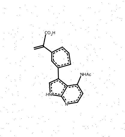 C=C(C(=O)O)c1cccc(-c2c[nH]c3nccc(NC(C)=O)c23)c1